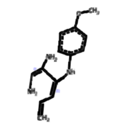 C=C/C=C(Nc1ccc(OC)cc1)\C(N)=C/N